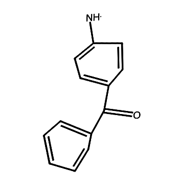 [NH]c1ccc(C(=O)c2ccccc2)cc1